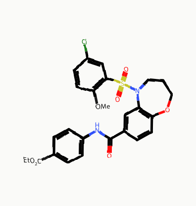 CCOC(=O)c1ccc(NC(=O)c2ccc3c(c2)N(S(=O)(=O)c2cc(Cl)ccc2OC)CCCO3)cc1